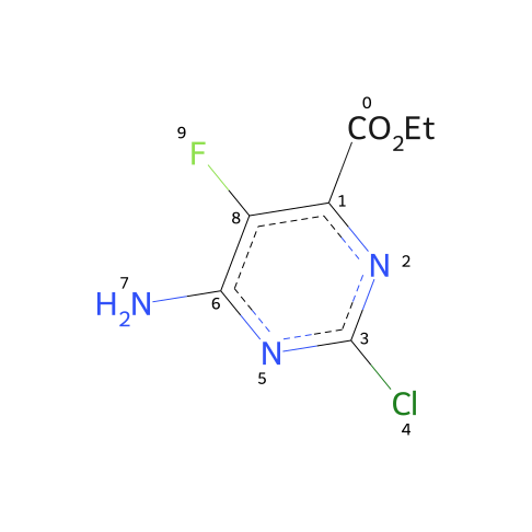 CCOC(=O)c1nc(Cl)nc(N)c1F